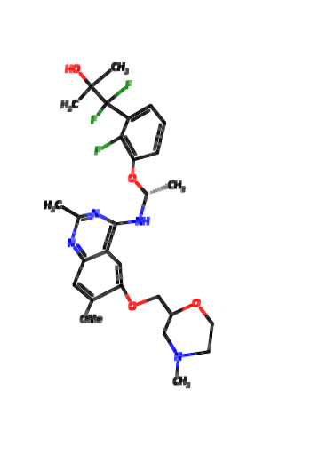 COc1cc2nc(C)nc(N[C@@H](C)Oc3cccc(C(F)(F)C(C)(C)O)c3F)c2cc1OCC1CN(C)CCO1